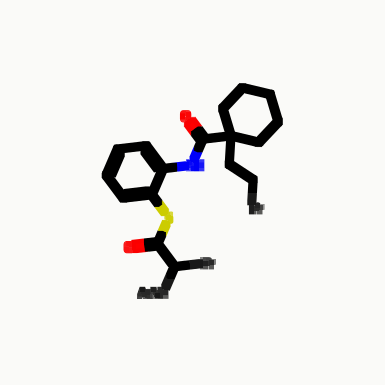 CC(=O)NC(C(=O)Sc1ccccc1NC(=O)C1(CCC(C)C)CCCCC1)C(C)C